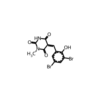 CN1C(=O)NC(=O)C(=Cc2cc(Br)cc(Br)c2O)C1=O